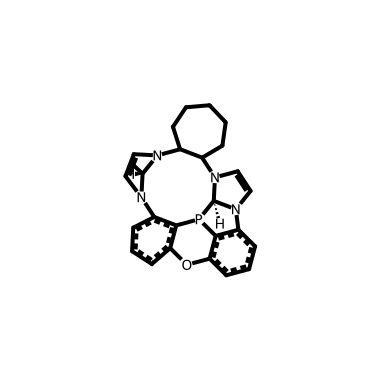 C[C@H]1N2C=CN1C1CCCCCC1N1C=CN3c4cccc5c4P(c4c(cccc42)O5)[C@H]31